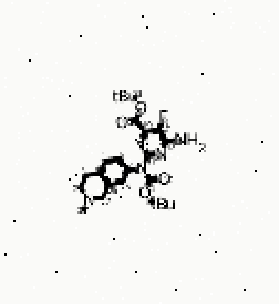 CN1CCc2ccc(N(C(=O)OC(C)(C)C)c3nc(N)c(F)c(C(=O)OC(C)(C)C)n3)cc2C1